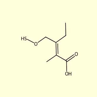 CCC(COS)=C(C)C(=O)O